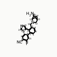 N#Cc1ccc(-c2cccc(CN3CC4CC(N)C3C4)c2-c2cncs2)cc1F